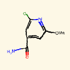 COc1cc(C(N)=O)cc(Cl)n1